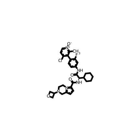 Cc1c(-c2ccc(NC(=O)[C@@H](NC(=O)c3ccc4n3CCN(C3COC3)C4)C3CCCCC3)cc2F)c(Cl)cc[n+]1[O-]